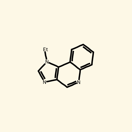 [CH2]Cn1cnc2cnc3ccccc3c21